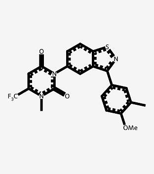 COc1ccc(-c2nsc3ccc(-n4c(=O)cc(C(F)(F)F)n(C)c4=O)cc23)cc1C